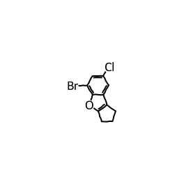 Clc1cc(Br)c2oc3c(c2c1)CCC3